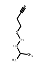 CC(C)NPOCCC#N